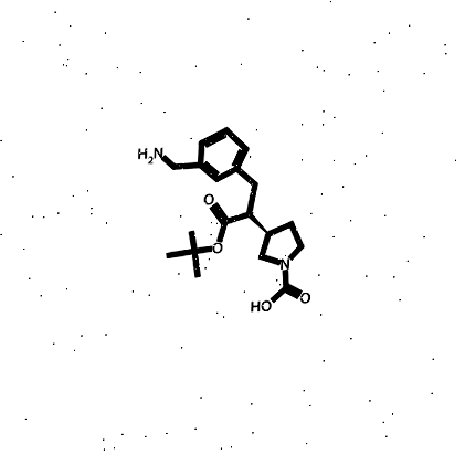 CC(C)(C)OC(=O)C(Cc1cccc(CN)c1)[C@H]1CCN(C(=O)O)C1